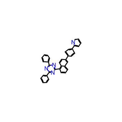 c1ccc(-c2nc(-c3ccccc3)nc(-c3cccc4cc(-c5ccc(-c6ccccn6)cc5)ccc34)n2)cc1